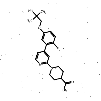 CC(C)(O)COc1ccc(F)c(-c2ccnc(N3CCC(C(=O)O)CC3)c2)c1